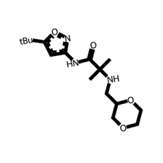 CC(C)(NCC1COCCO1)C(=O)Nc1cc(C(C)(C)C)on1